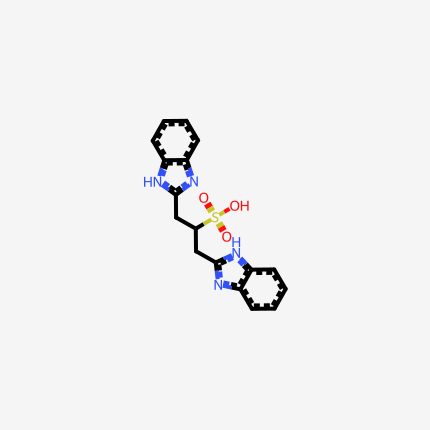 O=S(=O)(O)C(Cc1nc2ccccc2[nH]1)Cc1nc2ccccc2[nH]1